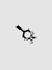 C#CC1COP(C)(=S)SC1